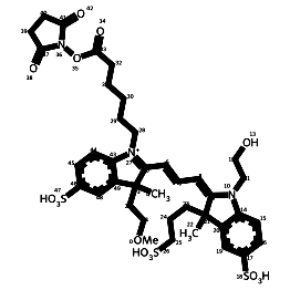 COCCC1(C)C(/C=C/C=C2/N(CCO)c3ccc(S(=O)(=O)O)cc3C2(C)CCCS(=O)(=O)O)=[N+](CCCCCC(=O)ON2C(=O)CCC2=O)c2ccc(S(=O)(=O)O)cc21